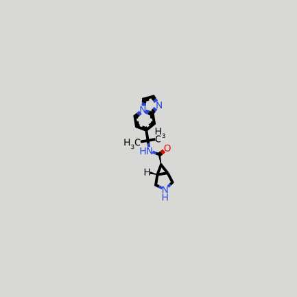 CC(C)(NC(=O)[C@H]1C2CNC[C@@H]21)c1ccn2ccnc2c1